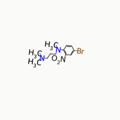 CN(C)CCCN(C)c1ccc(Br)cc1[N+](=O)[O-]